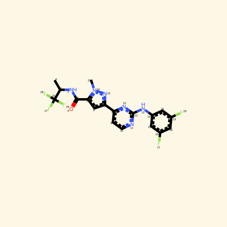 CC(NC(=O)c1cc(-c2ccnc(Nc3cc(F)cc(F)c3)n2)nn1C)C(F)(F)F